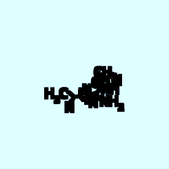 CCC(C#N)c1cnc2c(C(=O)Nc3cnccc3OC)c(N)nn2c1